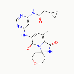 Cc1cc(Nc2cc(NC(=O)CC3CC3)ncn2)c(=O)n2c1C(=O)NC21CCOCC1